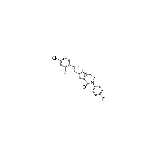 O=C1c2cc(CNc3ccc(Cl)cc3F)nn2CCN1c1ccc(F)cc1